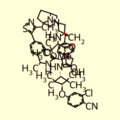 C=C(CN1CC2CCC(C1)N2CCCc1ccc(C(=O)N[C@H]2C(C)(C)[C@H](Oc3ccc(C#N)c(Cl)c3)C2(C)C)cc1)NC(C(=O)N1C[C@H](O)C[C@H]1C(=O)N[C@@H](C)c1ccc(-c2scnc2C)cc1)C(C)(C)OC